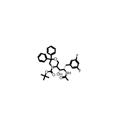 CC(=O)N[C@@H](Cc1cc(F)cc(F)c1)[C@H](O)C1COC(c2ccccc2)(c2ccccc2)CN1C(=O)OC(C)(C)C